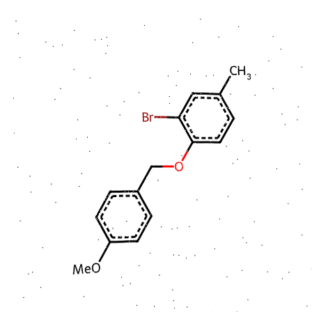 COc1ccc(COc2ccc(C)cc2Br)cc1